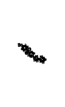 O=S(=O)(c1ccc(Br)cc1)C1CCN(c2nc(-c3ccccn3)cs2)CC1